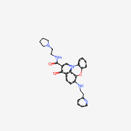 O=C(NCCN1CCCC1)c1cn2c3c(c(NCCc4ccccn4)ccc3c1=O)Oc1ccccc1-2